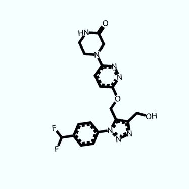 O=C1CN(c2ccc(OCc3c(CO)nnn3-c3ccc(C(F)F)cc3)nn2)CCN1